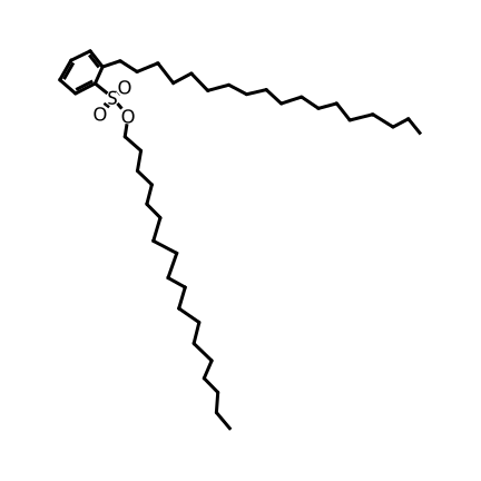 CCCCCCCCCCCCCCCCCCOS(=O)(=O)c1ccccc1CCCCCCCCCCCCCCCCCC